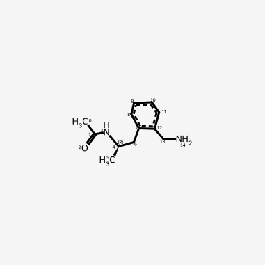 CC(=O)N[C@H](C)Cc1ccccc1CN